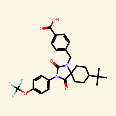 CC(C)(C)C1CCC2(CC1)C(=O)N(c1ccc(OC(F)(F)F)cc1)C(=O)N2Cc1ccc(C(=O)O)cc1